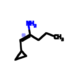 CCC/C(N)=C\C1CC1